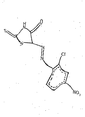 O=C1NC(=S)SC1N=Nc1ccc([N+](=O)[O-])cc1Cl